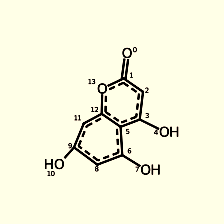 O=c1cc(O)c2c(O)cc(O)cc2o1